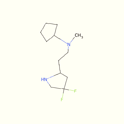 CN(CCC1CC(F)(F)CN1)C1CCCC1